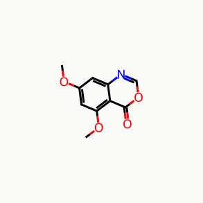 COc1cc(OC)c2c(=O)ocnc2c1